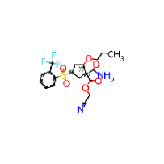 CCCO[C@@H]1C[C@H](S(=O)(=O)c2ccccc2C(F)(F)F)C[C@@]1(C(N)=O)C(=O)OCC#N